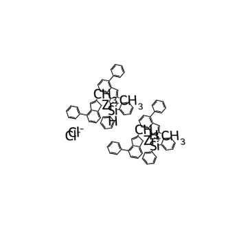 CC1=Cc2c(-c3ccccc3)cccc2[CH]1[Zr+]([CH]1C(C)=Cc2c(-c3ccccc3)cccc21)[SiH](c1ccccc1)c1ccccc1.CC1=Cc2c(-c3ccccc3)cccc2[CH]1[Zr+]([CH]1C(C)=Cc2c(-c3ccccc3)cccc21)[SiH](c1ccccc1)c1ccccc1.[Cl-].[Cl-]